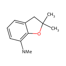 CNc1cccc2c1OC(C)(C)C2